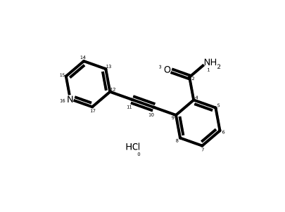 Cl.NC(=O)c1ccccc1C#Cc1cccnc1